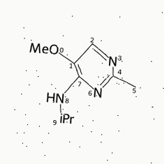 COc1cnc(C)nc1NC(C)C